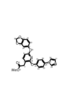 COC(=O)Cc1ccc(Oc2ccc3c(c2)OCO3)nc1Oc1ccc(-n2ccnc2)cc1